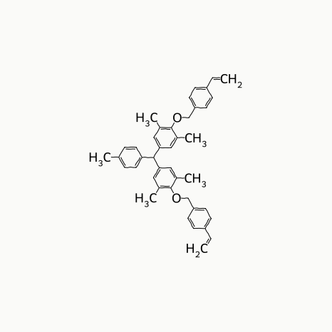 C=Cc1ccc(COc2c(C)cc(C(c3ccc(C)cc3)c3cc(C)c(OCc4ccc(C=C)cc4)c(C)c3)cc2C)cc1